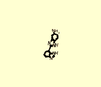 Nc1ccc2[nH]c(-c3cccc4nc[nH]c34)nc2c1